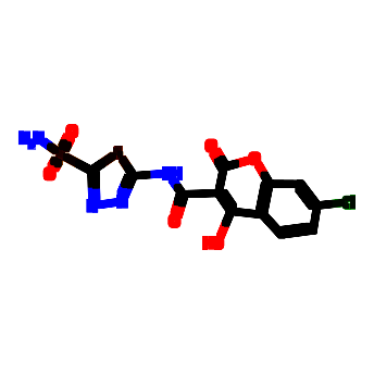 NS(=O)(=O)c1nnc(NC(=O)c2c(O)c3ccc(Cl)cc3oc2=O)s1